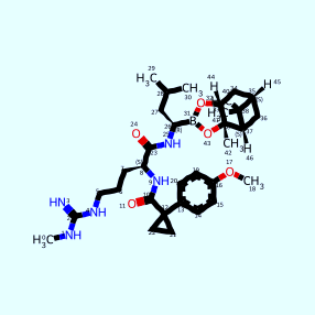 CNC(=N)NCCC[C@H](NC(=O)C1(c2ccc(OC)cc2)CC1)C(=O)N[C@@H](CC(C)C)B1O[C@@H]2C[C@@H]3C[C@@H](C3(C)C)[C@]2(C)O1